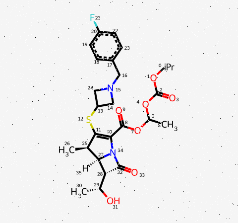 CC(C)OC(=O)OC(C)OC(=O)C1=C(SC2CN(Cc3ccc(F)cc3)C2)[C@H](C)[C@@H]2[C@@H]([C@@H](C)O)C(=O)N12